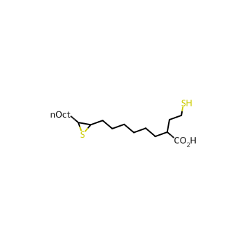 CCCCCCCCC1SC1CCCCCCC(CCS)C(=O)O